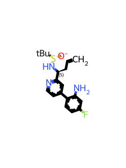 C=CC[C@H](N[S+]([O-])C(C)(C)C)c1cc(-c2ccc(F)cc2N)ccn1